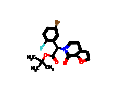 CC(C)(C)OC(=O)C(c1cc(Br)ccc1F)n1ccc2ccoc2c1=O